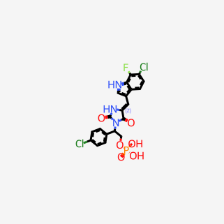 O=C1N/C(=C\c2c[nH]c3c(F)c(Cl)ccc23)C(=O)N1C(COP(=O)(O)O)c1ccc(Cl)cc1